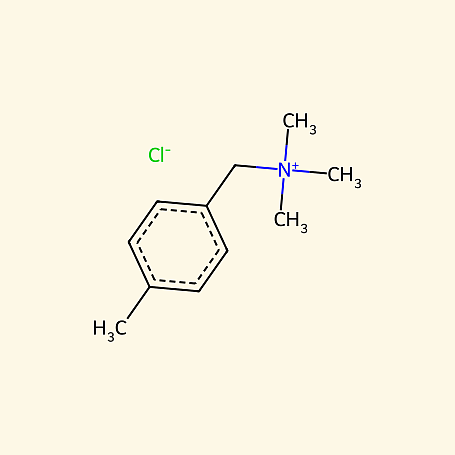 Cc1ccc(C[N+](C)(C)C)cc1.[Cl-]